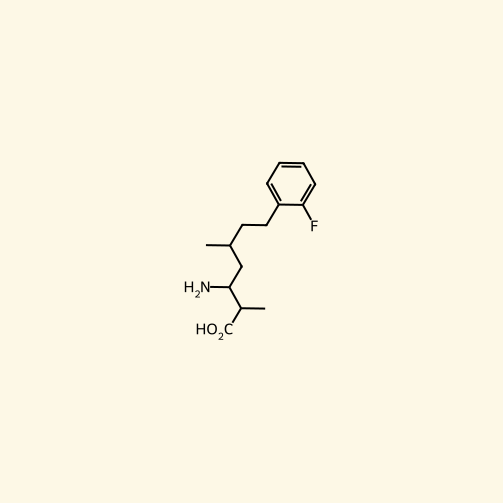 CC(CCc1ccccc1F)CC(N)C(C)C(=O)O